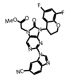 COC(=O)Cn1c(=O)n(C2CCOc3c(F)cc(F)cc32)c2nc(-n3cnc4ccc(C#N)cc43)ncc21